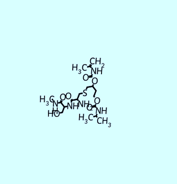 C=C(C)NC(=O)OC(CCOC(=O)NC(C)C)CSCC(N)C(=O)NC(CO)C(=O)NC